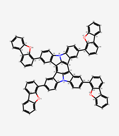 c1ccc2c(c1)oc1c(-c3ccc4c(c3)c3c5c6cc(-c7cccc8c7oc7ccccc78)ccc6n6c7ccc(-c8cccc9c8oc8ccccc89)cc7c(c7c8cc(-c9cccc%10c9oc9ccccc9%10)ccc8n4c37)c56)cccc12